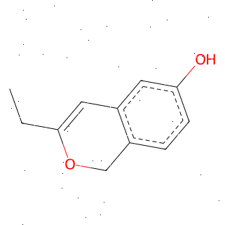 CCC1=Cc2cc(O)ccc2CO1